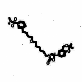 CN(C)S(=O)(=O)c1cccc(CCCCOCCCCCCN2C[C@@H](c3ccc4c(c3)COC(C)(C)O4)OC2=O)c1